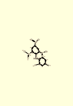 O=[N+]([O-])c1cc([N+](=O)[O-])c(Nc2ccc(F)cc2F)c([N+](=O)[O-])c1